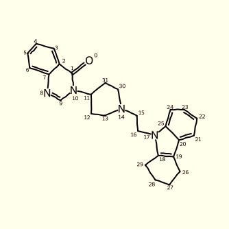 O=c1c2ccccc2ncn1C1CCN(CCn2c3c(c4ccccc42)CCCC3)CC1